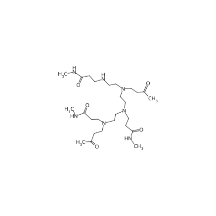 CNC(=O)CCNCCN(CCC(C)=O)CCN(CCC(=O)NC)CCN(CCC(C)=O)CCC(=O)NC